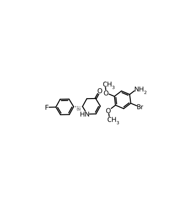 COc1cc(N)c(Br)cc1OC.O=C1C=CN[C@H](c2ccc(F)cc2)C1